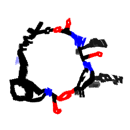 CC1(C)CC/C=C/c2cccc3c2CN(C3)C(=O)O[C@@H]2C[C@@H](C(=O)O)N(C2)C(=O)[C@H](C(C)(C)C)NC(=O)OC1